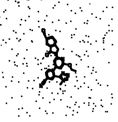 CCOc1cc(-c2ccc(C#N)cc2-c2nncn2C)cc(N2Cc3ccc(C=O)cc3C2=O)n1